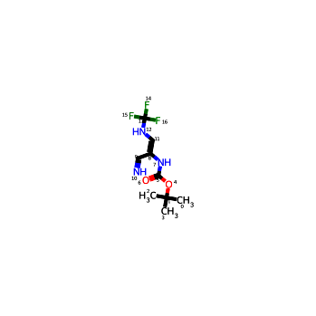 CC(C)(C)OC(=O)N/C(C=N)=C/NC(F)(F)F